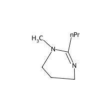 CCCC1=NCCCN1C